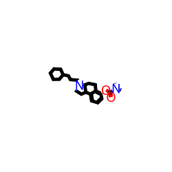 CN(C)C(=O)Oc1cccc2c1CCC1C2CCN1CCCC1CCCCC1